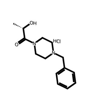 C[C@H](O)C(=O)N1CCN(Cc2ccccc2)CC1.Cl